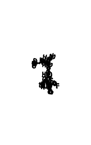 CC(C)[C@H](NC(=O)CCCCCN1C(=O)C=CC1=O)C(=O)N[C@@H](CCCNC(N)=O)C(=O)Nc1ccc(COC(=O)N[C@@H](CF)CCN(C(=O)c2cccnc2)[C@@H](c2nc(-c3cc(F)ccc3F)cn2Cc2ccccc2)C(C)(C)C)cc1